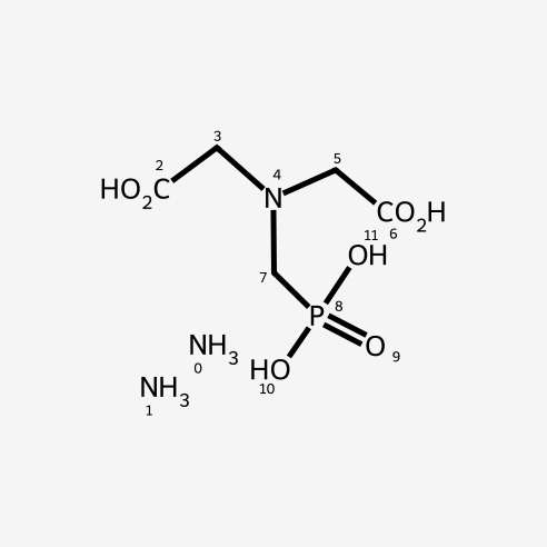 N.N.O=C(O)CN(CC(=O)O)CP(=O)(O)O